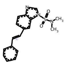 CN(C)S(=O)(=O)n1cnc2ccc(/C=C/c3ccccc3)cc21